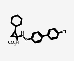 O=C(O)C1(NSc2ccc(-c3ccc(Cl)cc3)cc2)CC1C1CCCCC1